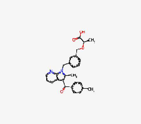 Cc1ccc(C(=O)c2c(C)n(Cc3cccc(CO[C@H](C)C(=O)O)c3)c3ncccc23)cc1